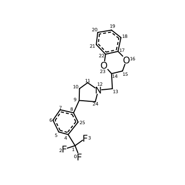 FC(F)(F)c1cccc(C2CCN(CC3COc4ccccc4O3)C2)c1